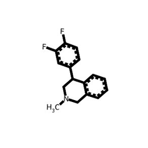 CN1Cc2ccccc2C(c2ccc(F)c(F)c2)C1